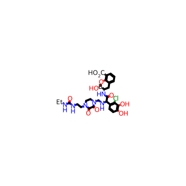 CCNC(=O)NCCN1CCN(CNC(C(=O)N[C@H]2Cc3cccc(C(=O)O)c3OB2O)c2ccc(O)c(O)c2Cl)C(=O)C1=O